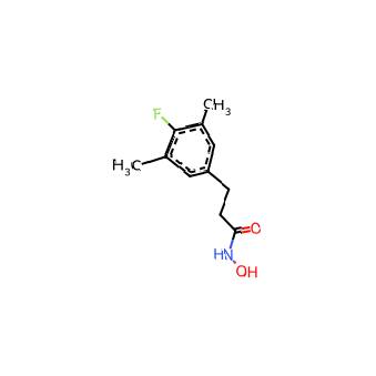 Cc1cc(CCC(=O)NO)cc(C)c1F